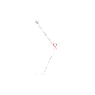 [CH2]Cc1cc(OCCCCCCCCCCCCCCCCCCCCCCCCCCCC)cc(OCCCCCCCCCCCCCCCCCCCCCCCCCCCC)c1